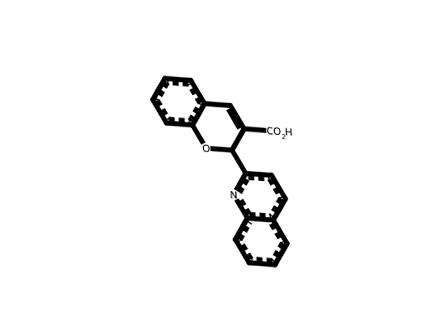 O=C(O)C1=Cc2ccccc2OC1c1ccc2ccccc2n1